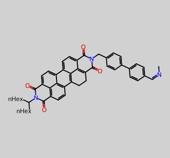 CCCCCCC(CCCCCC)N1C(=O)c2ccc3c4c5c6c(ccc5c5ccc(c2c35)C1=O)C(=O)N(Cc1ccc(-c2ccc(/C=N\C)cc2)cc1)C(=O)C=6CC4